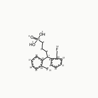 O=P(O)(O)CCCC(c1ccccc1F)c1ccccc1F